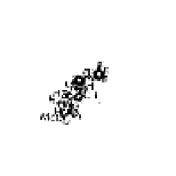 COC(=O)NC(C(=O)NC[C@](C)(O)C[C@@H]1CCC(C)C1S(=O)(=O)c1cc(C(=O)Nc2cc(F)c(F)c(F)c2)ccc1Cl)C(C)C